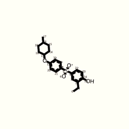 CCc1cc(S(=O)(=O)c2ccc(OC3CCC(C)CC3)cc2)ccc1O